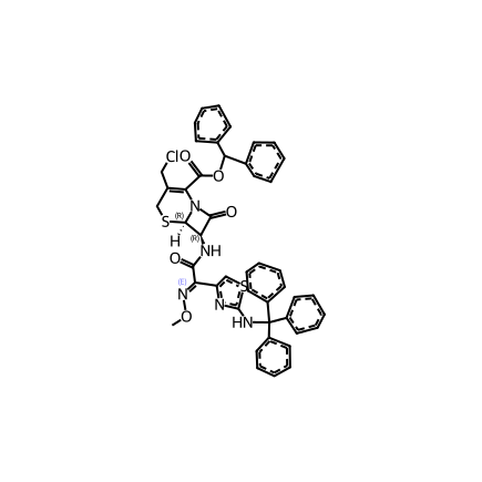 CO/N=C(/C(=O)N[C@@H]1C(=O)N2C(C(=O)OC(c3ccccc3)c3ccccc3)=C(CCl)CS[C@H]12)c1csc(NC(c2ccccc2)(c2ccccc2)c2ccccc2)n1